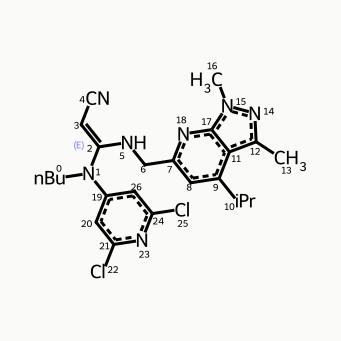 CCCCN(/C(=C/C#N)NCc1cc(C(C)C)c2c(C)nn(C)c2n1)c1cc(Cl)nc(Cl)c1